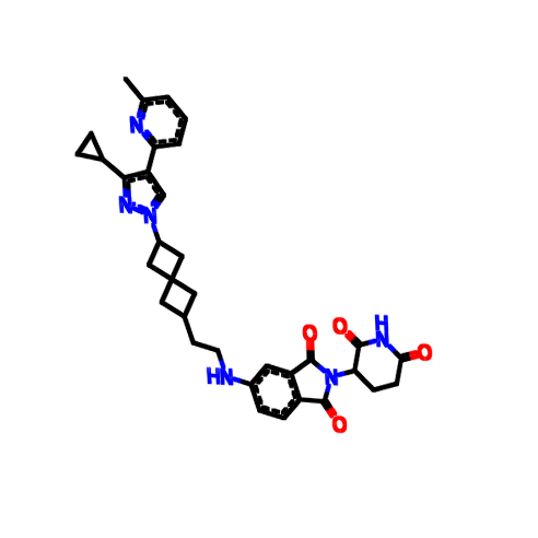 Cc1cccc(-c2cn(C3CC4(CC(CCNc5ccc6c(c5)C(=O)N(C5CCC(=O)NC5=O)C6=O)C4)C3)nc2C2CC2)n1